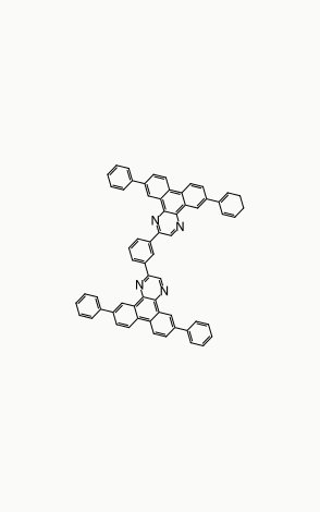 C1=CC(c2ccc3c4ccc(-c5ccccc5)cc4c4nc(-c5cccc(-c6cnc7c8cc(-c9ccccc9)ccc8c8ccc(-c9ccccc9)cc8c7n6)c5)cnc4c3c2)=CCC1